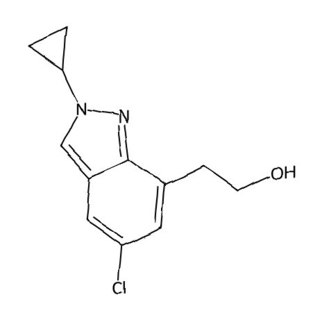 OCCc1cc(Cl)cc2cn(C3CC3)nc12